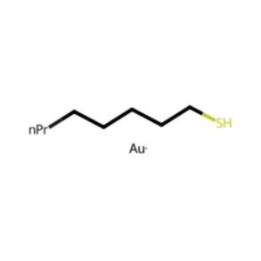 CCCCCCCCS.[Au]